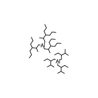 CCC([CH2][Al]([CH2]C(CC)C(C)C)[CH2]C(CC)C(C)C)C(C)C.CCCC(CCC)C(C)[CH2][Al]([CH2]C(C)C(CCC)CCC)[CH2]C(C)C(CCC)CCC